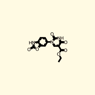 CCOC(=O)c1cn(-c2ccc3[nH]c(=O)oc3c2)c(=O)[nH]c1=O